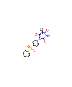 CCn1c(=O)[nH]c(=O)n(-c2ccc(S(=O)(=O)c3ccc(C)cc3)cc2)c1=O